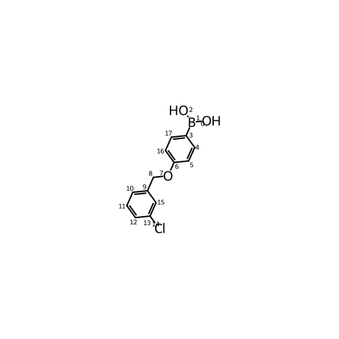 OB(O)c1ccc(OCc2cccc(Cl)c2)cc1